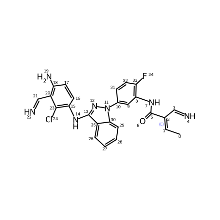 C/C=C(\C=N)C(=O)Nc1cc(-n2nc(Nc3ccc(N)c(C=N)c3Cl)c3ccccc32)ccc1F